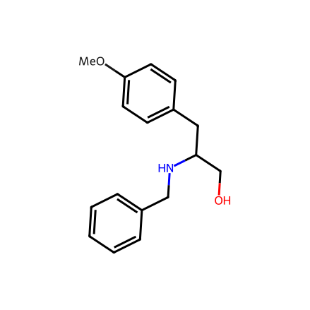 COc1ccc(CC(CO)NCc2ccccc2)cc1